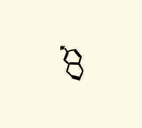 Brc1ccc2c(c1)CC#CC2